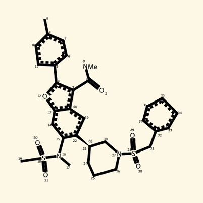 CNC(=O)c1c(-c2ccc(C)cc2)oc2cc(N(C)S(C)(=O)=O)c([C@@H]3CCCN(S(=O)(=O)Cc4ccccc4)C3)cc12